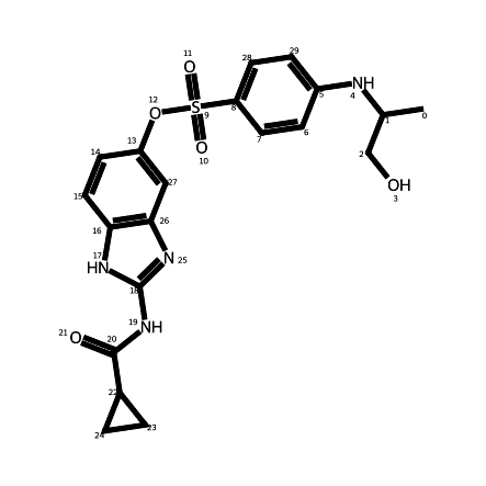 CC(CO)Nc1ccc(S(=O)(=O)Oc2ccc3[nH]c(NC(=O)C4CC4)nc3c2)cc1